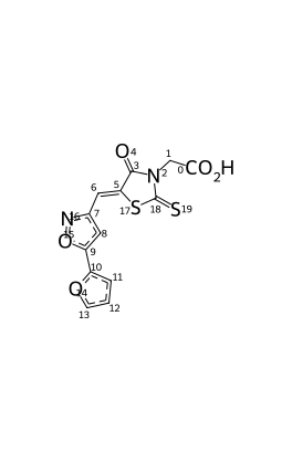 O=C(O)CN1C(=O)/C(=C/c2cc(-c3ccco3)on2)SC1=S